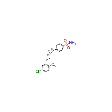 COc1ccc(Cl)cc1CC[C@@H]1C[C@H]1c1ccc(S(N)(=O)=O)cc1